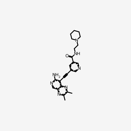 Cc1nc2cnc(N)c(C#Cc3cncc(C(=O)NCCN4CCCCC4)c3)c2nc1C